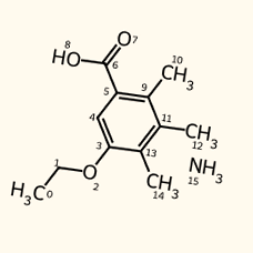 CCOc1cc(C(=O)O)c(C)c(C)c1C.N